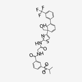 CC(C)S(=O)(=O)c1cccc(C(=O)NCC(=O)Nc2nc(C3(CO)C=CC=C(c4cccc(C(F)(F)F)c4)C3)cs2)c1